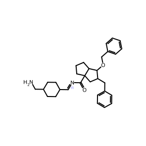 NCC1CCC(/C=N/C(=O)C23CCCC2C(OCc2ccccc2)C(Cc2ccccc2)C3)CC1